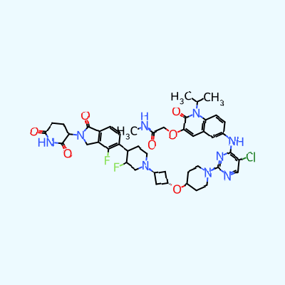 CNC(=O)COc1cc2cc(Nc3nc(N4CCC(O[C@H]5C[C@H](N6CCC(c7ccc8c(c7F)CN(C7CCC(=O)NC7=O)C8=O)C(F)C6)C5)CC4)ncc3Cl)ccc2n(C(C)C)c1=O